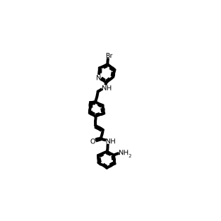 Nc1ccccc1NC(=O)/C=C/c1ccc(CNc2ccc(Br)cn2)cc1